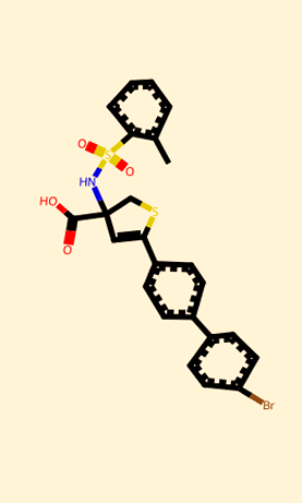 Cc1ccccc1S(=O)(=O)NC1(C(=O)O)C=C(c2ccc(-c3ccc(Br)cc3)cc2)SC1